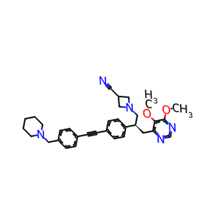 COc1ncnc(C[C@H](CN2CC(C#N)C2)c2ccc(C#Cc3ccc(CN4CCCCC4)cc3)cc2)c1OC